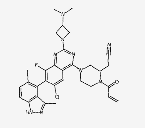 C=CC(=O)N1CCN(c2nc(N3CC(N(C)C)C3)nc3c(F)c(-c4c(C)ccc5[nH]nc(C)c45)c(Cl)cc23)CC1CC#N